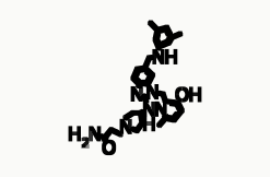 Cc1cc(C)cc(NCc2ccc3nc(NC4CCN(CCC(N)=O)CC4)n(Cc4nc(C)ccc4O)c3c2)c1